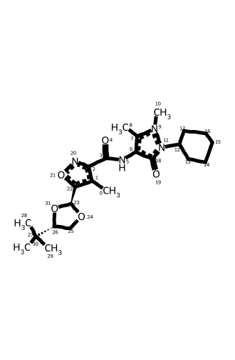 Cc1c(C(=O)Nc2c(C)n(C)n(C3CCCCC3)c2=O)noc1[C@H]1OC[C@H](C(C)(C)C)O1